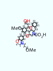 COCCCN1CCOc2ccc(CO[C@H]3CN(C(=O)O)C(Cc4ccccc4)[C@@H](OCCCO)[C@H]3c3ccc(OC)cc3)cc21